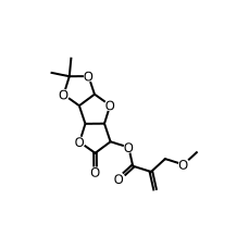 C=C(COC)C(=O)OC1C(=O)OC2C3OC(C)(C)OC3OC12